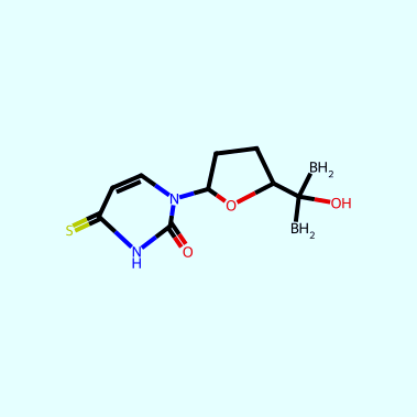 BC(B)(O)C1CCC(n2ccc(=S)[nH]c2=O)O1